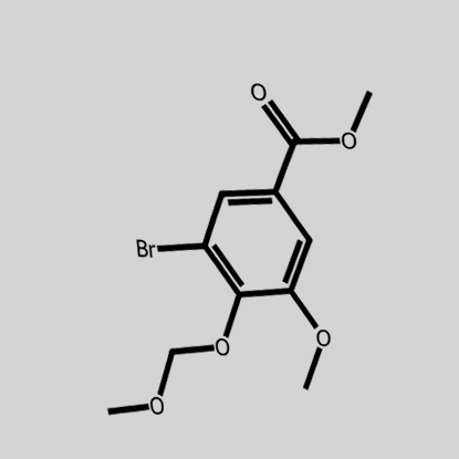 COCOc1c(Br)cc(C(=O)OC)cc1OC